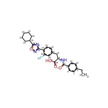 CCc1ccc(C(=O)NC(Cc2ccc(-c3noc(C4CCCCC4)n3)c(F)c2)C(=O)O)cc1